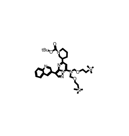 CC(C)(C)OC(=O)N1CCCC(c2cc(N(COCC[Si](C)(C)C)COCC[Si](C)(C)C)n3ncc(-c4cnc5ccccc5c4)c3n2)C1